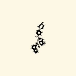 CN1CCN(c2ccc(Nc3ncc4c(n3)N(S(=O)(=O)c3cccc5cccnc35)CC4(F)F)cc2)CC1